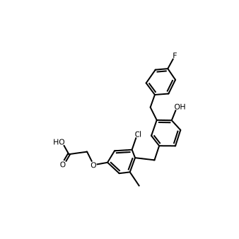 Cc1cc(OCC(=O)O)cc(Cl)c1Cc1ccc(O)c(Cc2ccc(F)cc2)c1